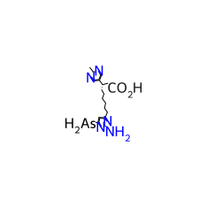 Cc1ncc([C@@H](CCCCCCc2cc([AsH2])nc(N)n2)CC(=O)O)cn1